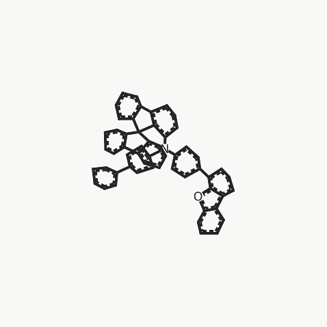 c1ccc(-c2ccc(N(c3ccc(-c4cccc5c4oc4ccccc45)cc3)c3cccc4c3C3(c5ccccc5-c5ccccc53)c3ccccc3-4)cc2)cc1